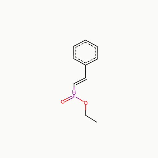 CCO[PH](=O)C=Cc1ccccc1